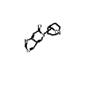 O=c1cc2ncncc2cn1C1CN2CCC1CC2